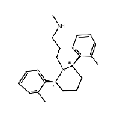 CNCCCN1[C@@H](c2ncccc2C)CCC[C@H]1c1ncccc1C